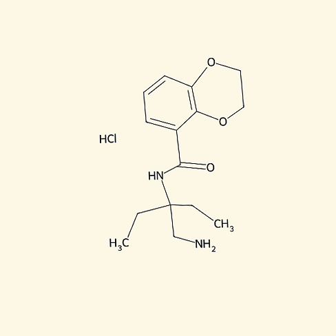 CCC(CC)(CN)NC(=O)c1cccc2c1OCCO2.Cl